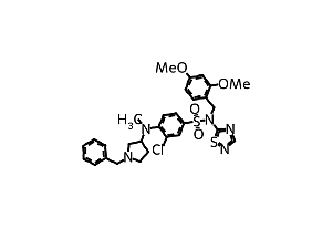 COc1ccc(CN(c2ncns2)S(=O)(=O)c2ccc(N(C)C3CCN(Cc4ccccc4)C3)c(Cl)c2)c(OC)c1